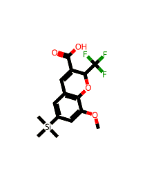 COc1cc([Si](C)(C)C)cc2c1OC(C(F)(F)F)C(C(=O)O)=C2